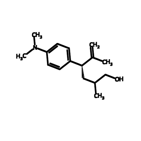 C=C(C)[C@H](CC(C)CO)c1ccc(N(C)C)cc1